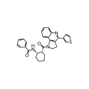 O=C(N[C@@H]1CCCC[C@@H]1C(=O)N1CCc2c(-c3ccsc3)nc3ccccc3c21)c1ccccc1